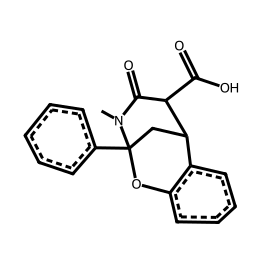 CN1C(=O)C(C(=O)O)C2CC1(c1ccccc1)Oc1ccccc12